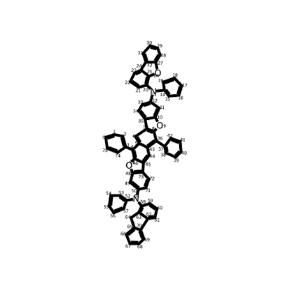 c1ccc(-c2c3cc4c(oc5cc(N(c6ccccc6)c6cccc7c6oc6ccccc67)ccc54)c(-c4ccccc4)c3cc3c2oc2cc(N(c4ccccc4)c4cccc5c4Cc4ccccc4-5)ccc23)cc1